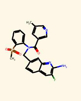 Cc1cncc(C(=O)N(Cc2ccc3cc(F)c(N)nc3c2)c2ccccc2S(C)(=O)=O)c1